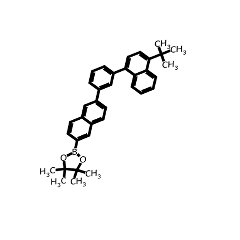 CC(C)(C)c1ccc(-c2cccc(-c3ccc4cc(B5OC(C)(C)C(C)(C)O5)ccc4c3)c2)c2ccccc12